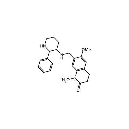 COc1cc2c(cc1CNC1CCCNC1c1ccccc1)N(C)C(=O)CC2